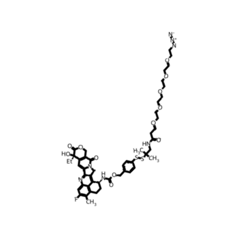 CC[C@@]1(O)C(=O)OCc2c1cc1n(c2=O)Cc2c-1nc1cc(F)c(C)c3c1c2[C@@H](NC(=O)OCc1ccc(SSC(C)(C)CNC(=O)CCOCCOCCOCCOCCOCCN=[N+]=[N-])cc1)CC3